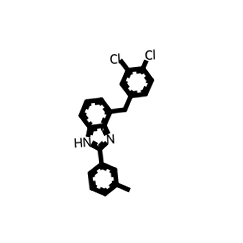 Cc1cccc(-c2nc3c(Cc4ccc(Cl)c(Cl)c4)cccc3[nH]2)c1